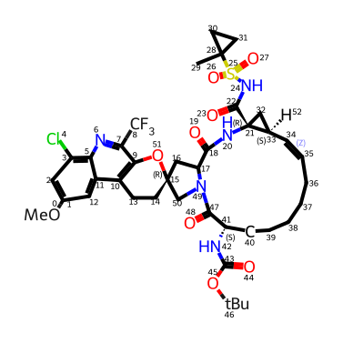 COc1cc(Cl)c2nc(C(F)(F)F)c3c(c2c1)CC[C@]1(CC2C(=O)N[C@]4(C(=O)NS(=O)(=O)C5(C)CC5)C[C@H]4/C=C\CCCCC[C@H](NC(=O)OC(C)(C)C)C(=O)N2C1)O3